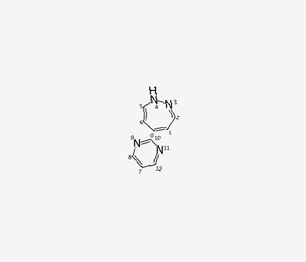 C1=CC=NNC=C1.c1cncnc1